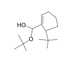 CC(C)(C)OC(O)C1=CCCCC1C(C)(C)C